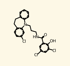 O=C(NCCCN1c2ccccc2CCc2ccc(Cl)cc21)c1cc(Cl)cc(Cl)c1O